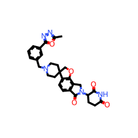 Cc1nnc(-c2cccc(CN3CCC4(CC3)COc3c4ccc4c3CN(C3CCC(=O)NC3=O)C4=O)c2)o1